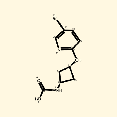 O=C(O)N[C@H]1C[C@@H](Oc2ccc(Br)cn2)C1